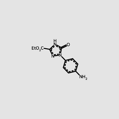 CCOC(=O)c1nn(-c2ccc(N)cc2)c(=O)[nH]1